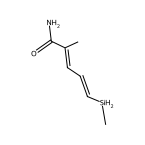 C[SiH2]/C=C/C=C(\C)C(N)=O